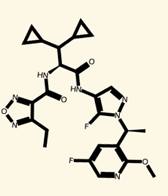 CCc1nonc1C(=O)N[C@H](C(=O)Nc1cnn([C@@H](C)c2cc(F)cnc2OC)c1F)C(C1CC1)C1CC1